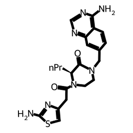 CCC[C@H]1C(=O)N(Cc2ccc3c(N)ncnc3c2)CCN1C(=O)Cc1csc(N)n1